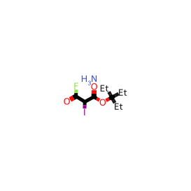 CCC(CC)(CC)OC(=O)C(I)C(=O)F.N